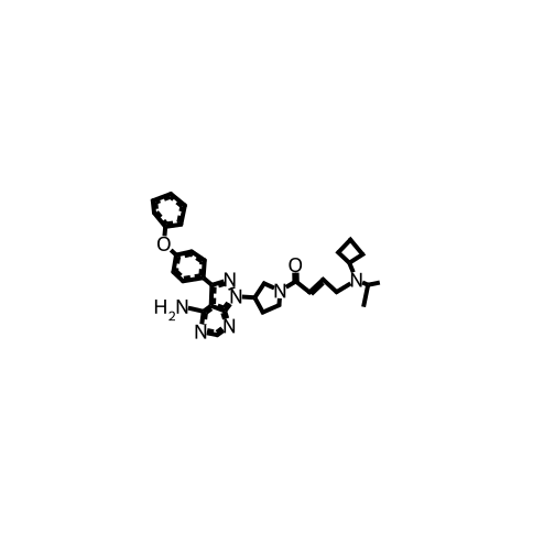 CC(C)N(C/C=C/C(=O)N1CCC(n2nc(-c3ccc(Oc4ccccc4)cc3)c3c(N)ncnc32)C1)C1CCC1